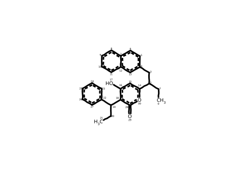 CCC(Cc1ccc2ccccc2c1)c1cc(O)c(C(CC)c2ccccc2)c(=O)o1